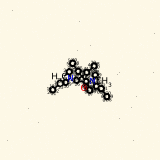 Cc1ccccc1N(c1ccc2c(c1)CCC(c1ccccc1)C2)c1ccc2c(c1)C(c1ccc(-c3ccccc3)cc1)(c1ccc(-c3ccccc3)cc1)c1cc(N(c3ccc4cc(-c5ccccc5)ccc4c3)c3ccccc3C)c3c(oc4ccccc43)c1-2